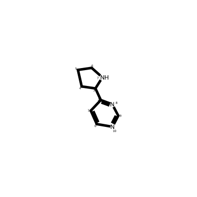 c1cc(C2CCCN2)ncn1